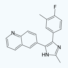 Cc1nc(-c2ccc(F)c(C)c2)c(-c2ccc3ncccc3c2)[nH]1